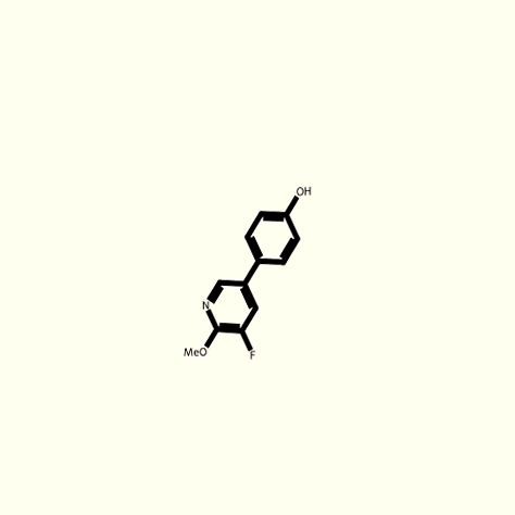 COc1ncc(-c2ccc(O)cc2)cc1F